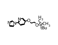 CC(C)(C)[Si](C)(C)OCCOc1ccc(-n2ccnc2)nc1